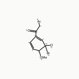 COC1C=CC(C(=O)CC(C)=O)=CC1(Cl)Br